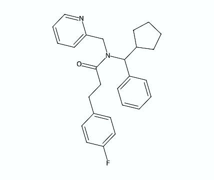 O=C(CCc1ccc(F)cc1)N(Cc1ccccn1)C(c1ccccc1)C1CCCC1